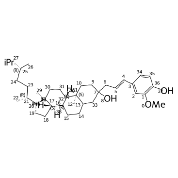 COc1cc(C=CCC2(O)CC[C@@]3(C)C(CC[C@H]4[C@@H]5CC[C@H]([C@H](C)CC[C@@H](C)C(C)C)[C@@]5(C)CC[C@@H]43)C2)ccc1O